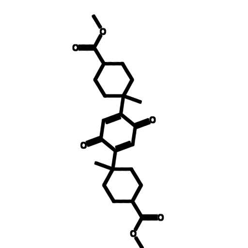 COC(=O)C1CCC(C)(C2=CC(=O)C(C3(C)CCC(C(=O)OC)CC3)=CC2=O)CC1